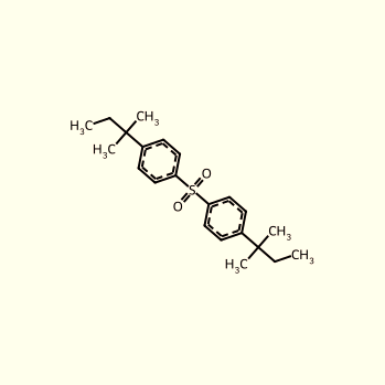 CCC(C)(C)c1ccc(S(=O)(=O)c2ccc(C(C)(C)CC)cc2)cc1